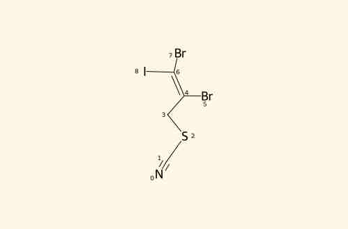 N#CSCC(Br)=C(Br)I